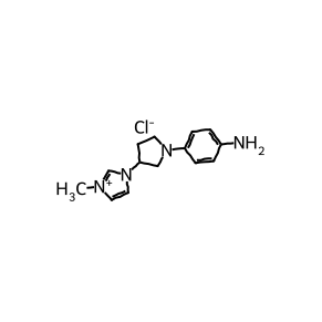 C[n+]1ccn(C2CCN(c3ccc(N)cc3)C2)c1.[Cl-]